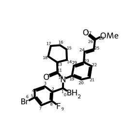 BC(c1ccc(Br)cc1F)N(C(=O)C1CCCCC1)c1cccc(/C=C/C(=O)OC)c1